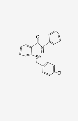 O=C(Nc1ccccc1)c1ccccc1[Se]Cc1ccc(Cl)cc1